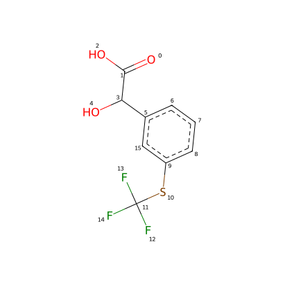 O=C(O)C(O)c1cccc(SC(F)(F)F)c1